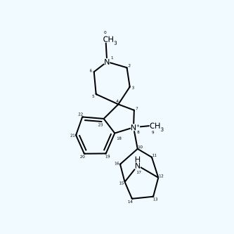 CN1CCC2(CC1)C[N+](C)(C1CC3CCC(C1)N3)c1ccccc12